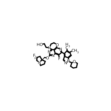 Cc1cc2c(cnn2C2CCCCO2)c(-c2nc3c4c(nc(OC[C@@]56CCCN5C[C@H](F)C6)nc4c2F)N(CCO)CCO3)c1C